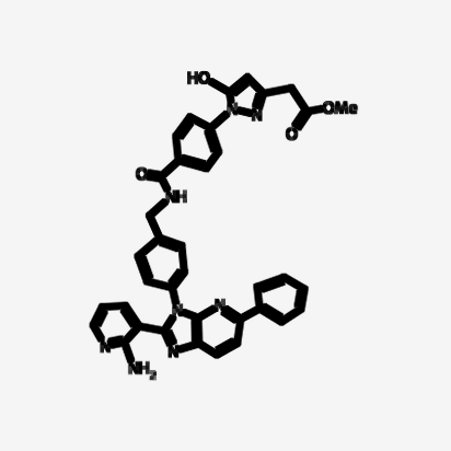 COC(=O)Cc1cc(O)n(-c2ccc(C(=O)NCc3ccc(-n4c(-c5cccnc5N)nc5ccc(-c6ccccc6)nc54)cc3)cc2)n1